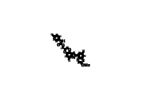 COc1cnc2c(-c3nc4c(C)cc5c(c4s3)OC[C@H](COC(=O)Nc3ccc(C)nc3)O5)cc(C)cc2n1